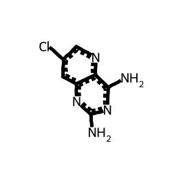 Nc1nc(N)c2ncc(Cl)cc2n1